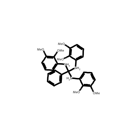 COc1cccc([SiH2]C([SiH2]c2cccc(OC)c2OC)([SiH2]c2cccc(OC)c2OC)c2ccccc2)c1OC